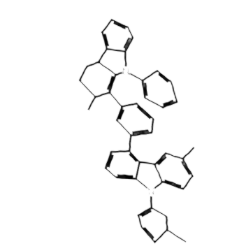 Cc1ccc2c(c1)c1c(-c3cccc(C4=C5C(CCC4C)c4ccccc4N5c4ccccc4)c3)cccc1n2C1=CC=CC(C)C1